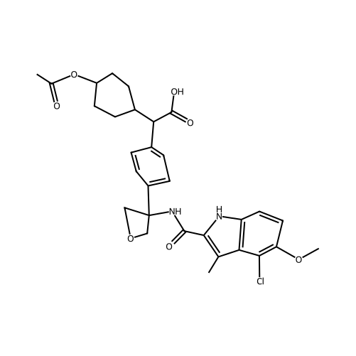 COc1ccc2[nH]c(C(=O)NC3(c4ccc(C(C(=O)O)C5CCC(OC(C)=O)CC5)cc4)COC3)c(C)c2c1Cl